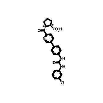 O=C(Nc1ccc(-c2ccc(C(=O)[C@@H]3CCC[C@H]3C(=O)O)nc2)cc1)Nc1cccc(Cl)c1